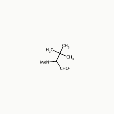 CNC([C]=O)C(C)(C)C